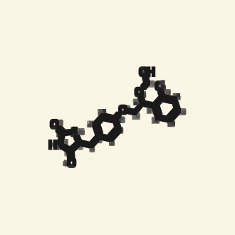 O=C1NC(=O)C(Cc2ccc(OC[C@@H](OCO)c3ccccc3Cl)cc2)S1